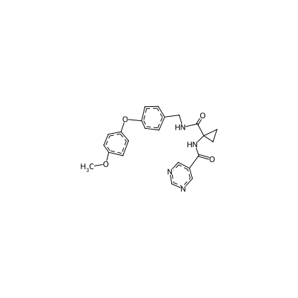 COc1ccc(Oc2ccc(CNC(=O)C3(NC(=O)c4cncnc4)CC3)cc2)cc1